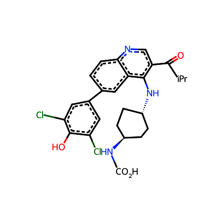 CC(C)C(=O)c1cnc2ccc(-c3cc(Cl)c(O)c(Cl)c3)cc2c1N[C@H]1CC[C@H](NC(=O)O)CC1